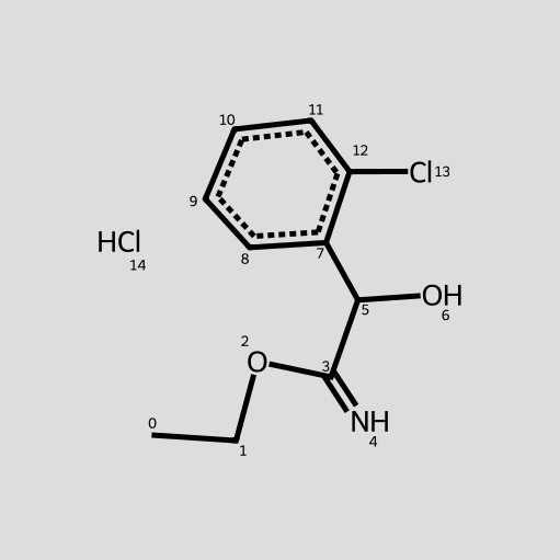 CCOC(=N)C(O)c1ccccc1Cl.Cl